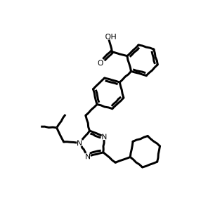 CC(C)Cn1nc(CC2CCCCC2)nc1Cc1ccc(-c2ccccc2C(=O)O)cc1